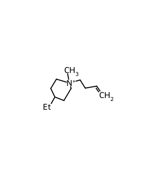 C=CCC[N+]1(C)CCC(CC)CC1